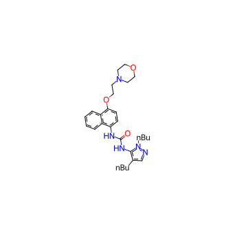 CCCCc1cnn(CCCC)c1NC(=O)Nc1ccc(OCCN2CCOCC2)c2ccccc12